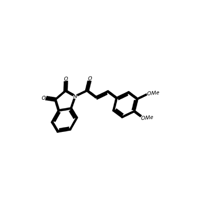 COc1ccc(C=CC(=O)N2C(=O)C(=O)c3ccccc32)cc1OC